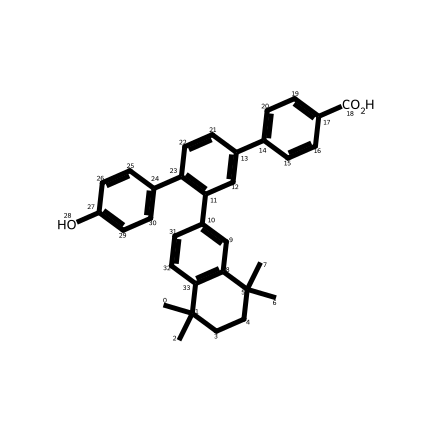 CC1(C)CCC(C)(C)c2cc(-c3cc(-c4ccc(C(=O)O)cc4)ccc3-c3ccc(O)cc3)ccc21